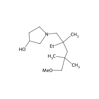 CCC(C)(CN1CCC(O)C1)CC(C)(C)COC